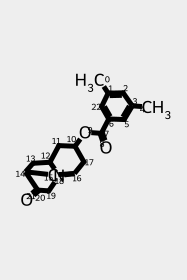 Cc1cc(C)cc(C(=O)OC2CC3CC4CC(C2)N3CC4=O)c1